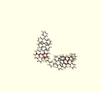 c1ccc(N2c3ccccc3C3(c4ccccc4-c4c(N(c5ccccc5-c5ccccc5-c5cccc6ccccc56)c5cccc6c5oc5ccc(-c7cccc(N8c9ccccc9C9(c%10ccccc%10-c%10c(N(c%11ccccc%11-c%11ccccc%11-c%11cccc%12ccccc%11%12)c%11cccc%12c%11sc%11ccccc%11%12)cccc%109)c9ccccc98)c7)cc56)cccc43)c3ccccc32)cc1